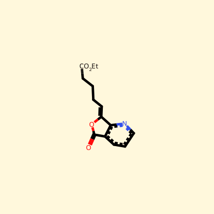 CCOC(=O)CCCC=C1OC(=O)c2cccnc21